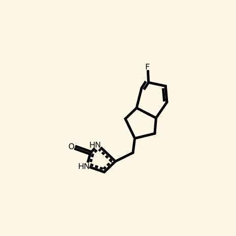 O=c1[nH]cc(CC2CC3C=CC(F)=CC3C2)[nH]1